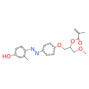 C=C(C)C(=O)OC(COC)COc1ccc(N=Nc2ccc(O)cc2C)cc1